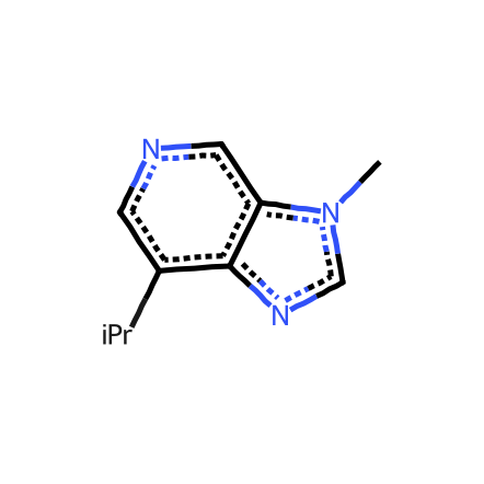 CC(C)c1cncc2c1ncn2C